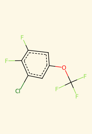 Fc1cc(OC(F)(F)F)cc(Cl)c1F